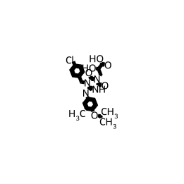 Cc1cc(N=c2[nH]c(=O)n(CC(O)C(=O)O)c(=O)n2Cc2ccc(Cl)cc2)ccc1OC(C)C